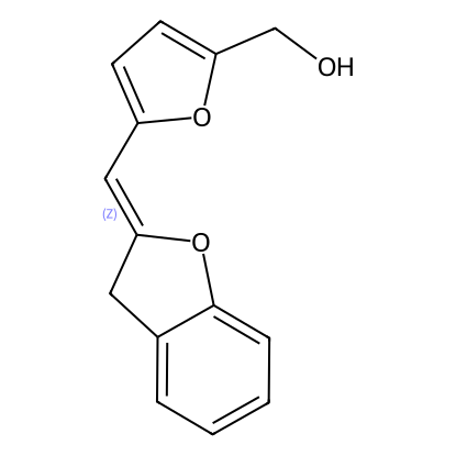 OCc1ccc(/C=C2/Cc3ccccc3O2)o1